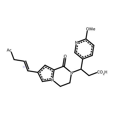 COc1ccc(C(CC(=O)O)N2CCn3cc(/C=C/CC(C)=O)cc3C2=O)cn1